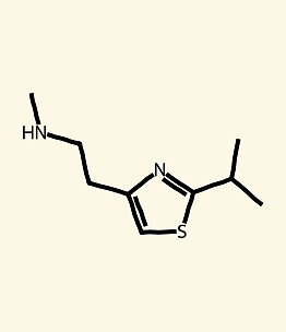 CNCCc1csc(C(C)C)n1